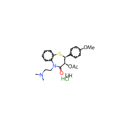 COc1ccc([C@@H]2Sc3ccccc3N(CCN(C)C)C(=O)[C@@H]2OC(C)=O)cc1.Cl.[LiH]